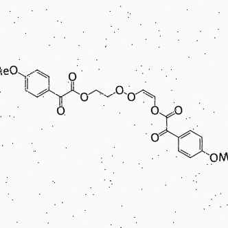 COc1ccc(C(=O)C(=O)O/C=C\OOCCOC(=O)C(=O)c2ccc(OC)cc2)cc1